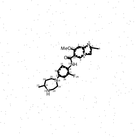 COc1cc2nc(C)cn2cc1C(=O)Nc1ccc(N2CCNC(C)CC2)cc1F